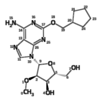 CO[C@@H]1[C@H](O)[C@@H](CO)O[C@H]1n1cnc2c(N)nc(OCC3CCCC3)nc21